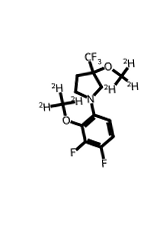 [2H]C([2H])([2H])Oc1c(N2CCC(OC([2H])([2H])[2H])(C(F)(F)F)C2)ccc(F)c1F